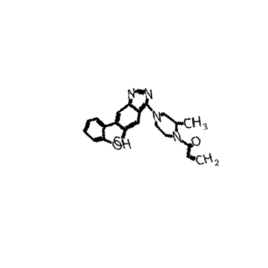 C=CC(=O)N1CCN(c2ncnc3cc(-c4ccccc4O)c(Cl)cc23)CC1C